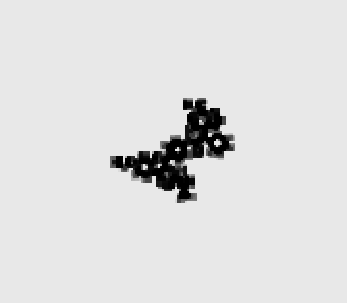 CCn1nccc1N(C=O)[C@H](C(=O)Nc1ccc([C@H](C)[C@@H](NC(=O)NC2CC2)C(=O)N2CCN(C)CC2)cc1)C1CCCCC1